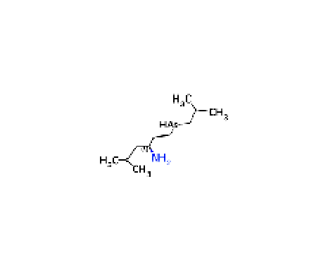 CC(C)C[AsH]CC[C@@H](N)CC(C)C